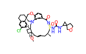 CO[C@H]1/C=C/C[C@H](C)C[S@@](=O)(NC(=O)N[C@H]2CC23CCOC3)=NC(=O)c2ccc3c(c2)N(C[C@@H]2CC[C@H]21)C[C@@]1(CCCc2cc(Cl)ccc21)CO3